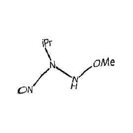 CONN(N=O)C(C)C